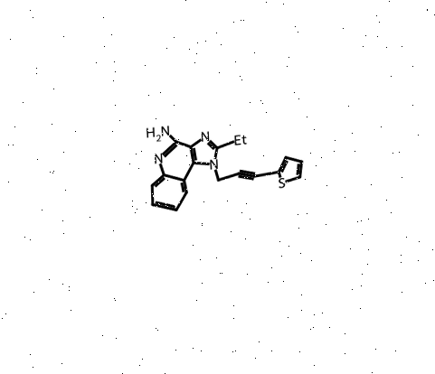 CCc1nc2c(N)nc3ccccc3c2n1CC#Cc1cccs1